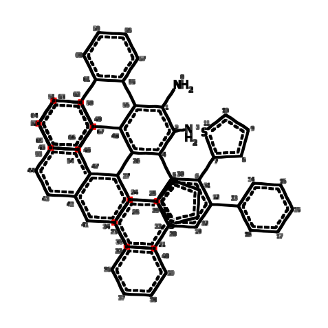 Nc1c(N)c(-c2c(-c3cccs3)c(-c3ccccc3)cc3ccccc23)c(-c2c(-c3cccs3)c(-c3ccccc3)cc3ccccc23)c(-c2ccccc2)c1-c1ccccc1-c1ccccc1